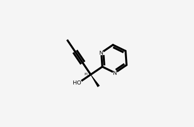 CC#C[C@@](C)(O)c1ncccn1